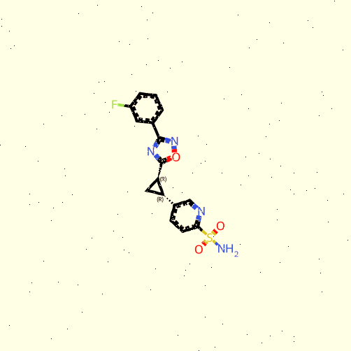 NS(=O)(=O)c1ccc([C@@H]2C[C@H]2c2nc(-c3cccc(F)c3)no2)cn1